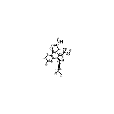 CNC(=O)CN(C(=O)C1CCC(C)CC1)c1cc(C#CC(C)C)sc1C(=O)OC